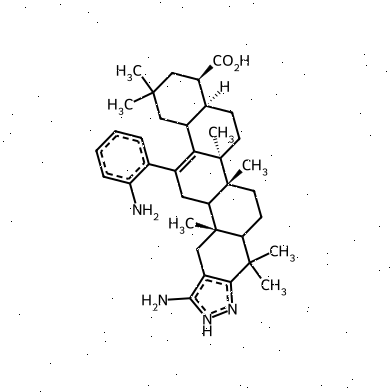 CC1(C)CC2C3=C(c4ccccc4N)CC4[C@@]5(C)Cc6c(n[nH]c6N)C(C)(C)C5CC[C@@]4(C)[C@]3(C)CC[C@@H]2[C@H](C(=O)O)C1